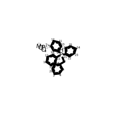 [Cl-].[Cl-].[Mn+2].c1ccc(C[PH](c2ccccc2)(c2ccccc2)c2ccccc2)cc1